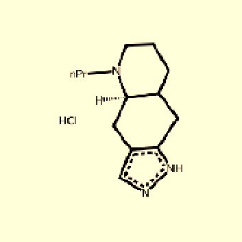 CCCN1CCCC2Cc3[nH]ncc3C[C@H]21.Cl